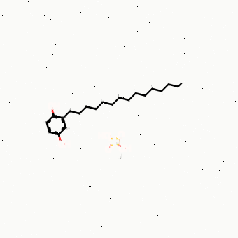 CCCCCCCCCCCCCCCc1cc(O)ccc1O.O=S(=O)(O)O.[NaH]